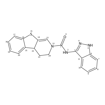 O=C(Nc1n[nH]c2ccccc12)N1C=C2Sc3ccccc3C2CC1